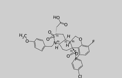 COc1ccc(CN2[C@@H]3CC[C@@]4(S(=O)(=O)c5ccc(Cl)cc5)c5c(F)ccc(F)c5OC[C@H]4[C@@H]3C[C@@H](CC(=O)O)S2(=O)=O)cc1